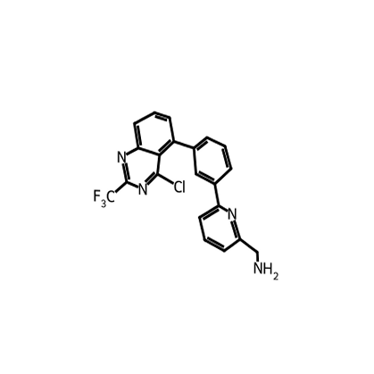 NCc1cccc(-c2cccc(-c3cccc4nc(C(F)(F)F)nc(Cl)c34)c2)n1